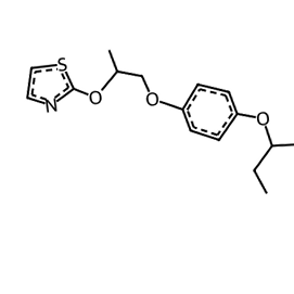 CCC(C)Oc1ccc(OCC(C)Oc2nccs2)cc1